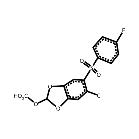 O=C(O)OC1Oc2cc(Cl)c(S(=O)(=O)c3ccc(F)cc3)cc2O1